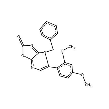 COc1ccc(C2=CN=C3[N]C(=O)N=C3N2Cc2ccccc2)c(OC)c1